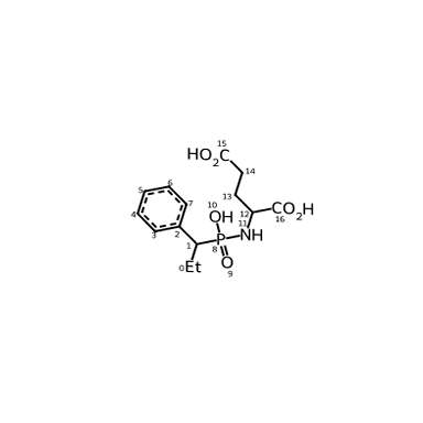 CCC(c1ccccc1)P(=O)(O)NC(CCC(=O)O)C(=O)O